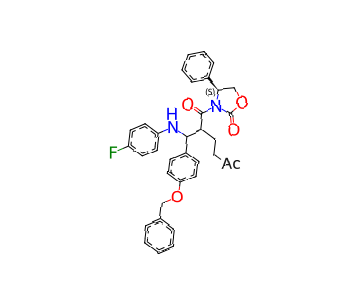 CC(=O)CCC(C(=O)N1C(=O)OC[C@@H]1c1ccccc1)C(Nc1ccc(F)cc1)c1ccc(OCc2ccccc2)cc1